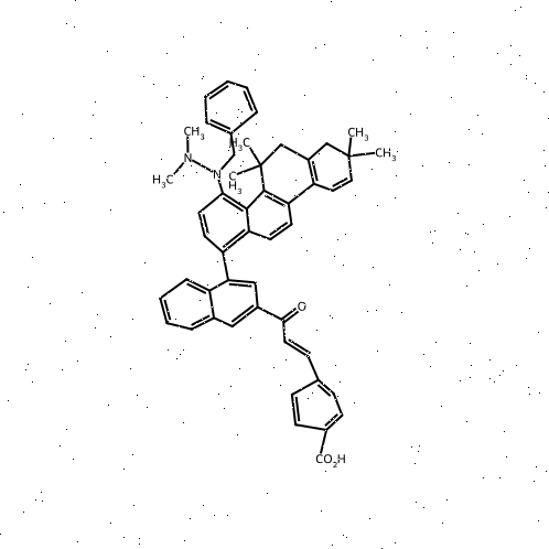 CN(C)N(Cc1ccccc1)c1ccc(-c2cc(C(=O)C=Cc3ccc(C(=O)O)cc3)cc3ccccc23)c2ccc3c(c12)C(C)(C)CC1=C3C=CC(C)(C)C1